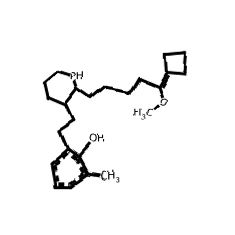 COC(CCCCC1PCCCC1CCc1cccc(C)c1O)=C1CCC1